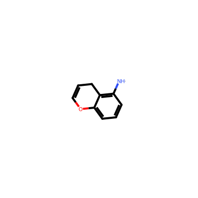 [NH]c1cccc2c1CC=CO2